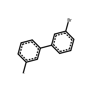 [CH2]c1cccc(-c2cccc(Br)c2)c1